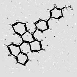 Cc1ccc(-c2ccc(-c3c4ccccc4c(-c4cccc5ccccc45)c4ccccc34)cc2)cn1